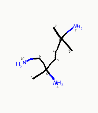 CC(C)(N)CCC(C)(N)CN